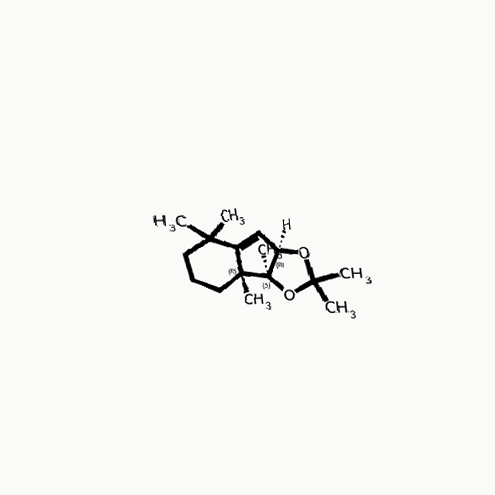 CC1(C)O[C@@H]2C=C3C(C)(C)CCC[C@@]3(C)[C@]2(C)O1